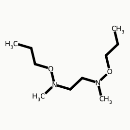 CCCON(C)CCN(C)OCCC